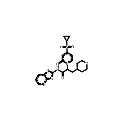 O=C(Nc1nc2cccnc2s1)C(CC1CCOCC1)n1ccc(S(=O)(=O)C2CC2)cc1=O